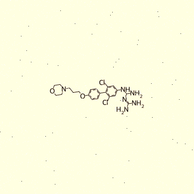 NC(N)=NC(N)Nc1cc(Cl)c(-c2ccc(OCCCN3CCOCC3)cc2)c(Cl)c1